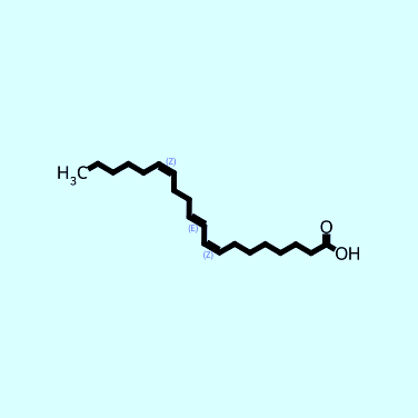 CCCCC/C=C\CC/C=C/C=C\CCCCCCC(=O)O